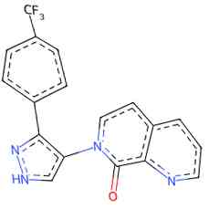 O=c1c2ncccc2ccn1-c1c[nH]nc1-c1ccc(C(F)(F)F)cc1